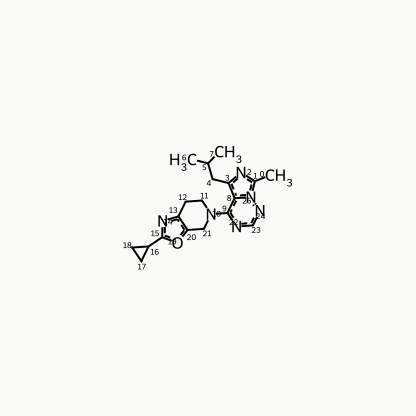 Cc1nc(CC(C)C)c2c(N3CCc4nc(C5CC5)oc4C3)ncnn12